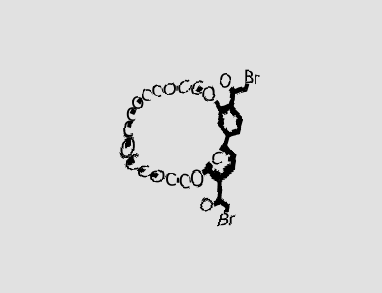 O=C(CBr)c1ccc2cc1OCCOCCOCCOCCOCCOc1cc-2ccc1C(=O)CBr